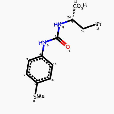 CSc1ccc(NC(=O)N[C@@H](CC(C)C)C(=O)O)cc1